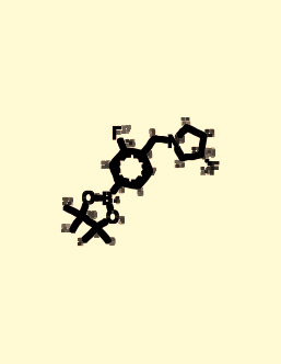 CC1(C)OB(c2ccc(CN3CC[C@H](F)C3)c(F)c2)OC1(C)C